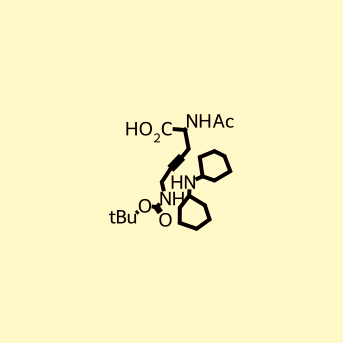 C1CCC(NC2CCCCC2)CC1.CC(=O)NC(CC#CCNC(=O)OC(C)(C)C)C(=O)O